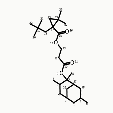 CC1CC2CC(C)C(C)(OC(=O)CCOC(=O)C3(CC(C)(C)C)CC3(C)C)C(C1)C2